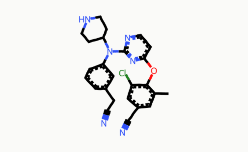 Cc1cc(C#N)cc(Cl)c1Oc1ccnc(N(c2cccc(CC#N)c2)C2CCNCC2)n1